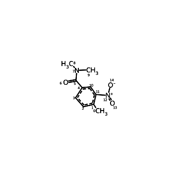 Cc1ccc(C(=O)N(C)C)cc1[N+](=O)[O-]